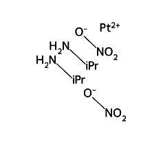 CC(C)N.CC(C)N.O=[N+]([O-])[O-].O=[N+]([O-])[O-].[Pt+2]